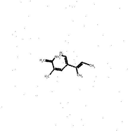 C=C(N)\C(C)=C/C(=C\C)C(/C)=C/C